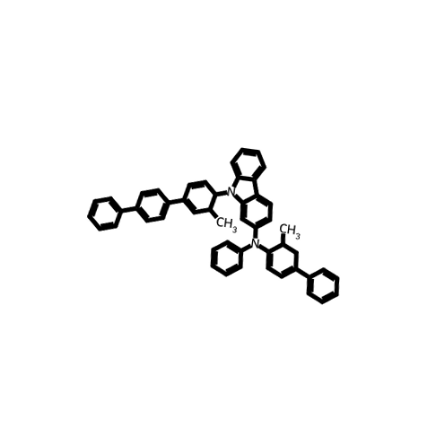 CC1CC(c2ccccc2)=CC=C1N(c1ccccc1)c1ccc2c3ccccc3n(C3C=CC(c4ccc(-c5ccccc5)cc4)=CC3C)c2c1